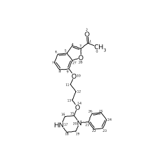 CC(=O)c1cc2cccc(OCCCOC3CNCCN3c3ccccc3)c2o1